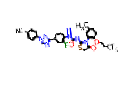 Cc1ccc(OCCC(F)(F)F)c(N2C(=O)CSC2=NC(=O)Nc2ccc(-c3ncn(-c4ccc(C#N)cc4)n3)cc2F)c1